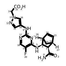 NC(=O)[C@H]1[C@@H](Nc2nc(Nc3cnn(CC(=O)O)c3)ncc2F)[C@@H]2C=C[C@H]1C2